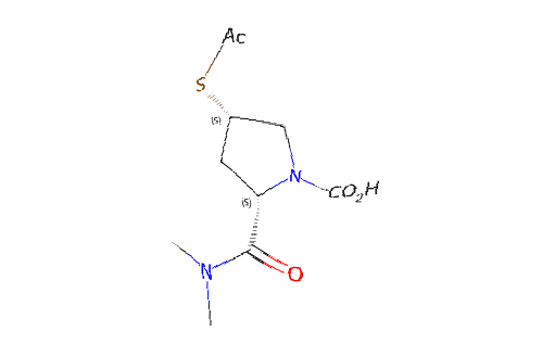 CC(=O)S[C@H]1C[C@@H](C(=O)N(C)C)N(C(=O)O)C1